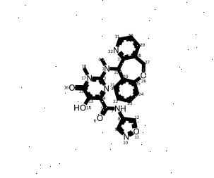 CN(c1nc(C(=O)Nc2cnoc2)c(O)c(=O)n1C)C1c2ccccc2OCc2cccnc21